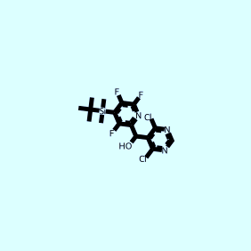 CC(C)(C)[Si](C)(C)c1c(F)c(F)nc(C(O)c2c(Cl)ncnc2Cl)c1F